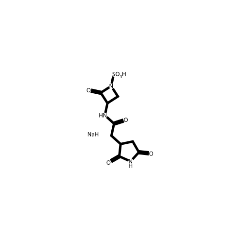 O=C1CC(CC(=O)NC2CN(S(=O)(=O)O)C2=O)C(=O)N1.[NaH]